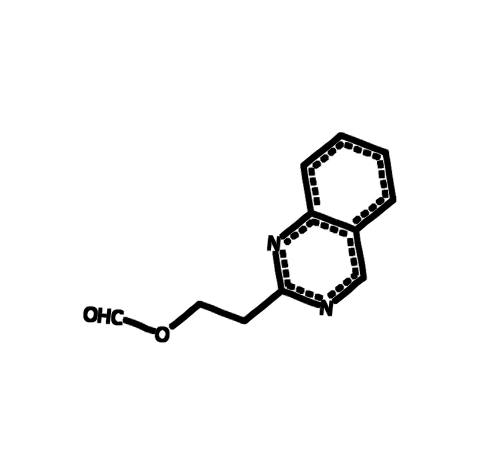 O=COCCc1ncc2ccccc2n1